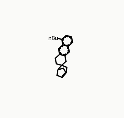 CCCCc1cccc2cc3c(cc12)CCC1(CC2=CCC1C2)C3